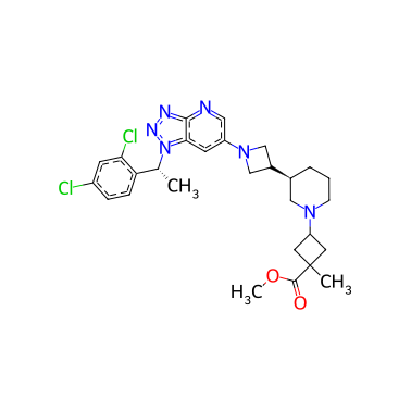 COC(=O)C1(C)CC(N2CCC[C@H](C3CN(c4cnc5nnn([C@H](C)c6ccc(Cl)cc6Cl)c5c4)C3)C2)C1